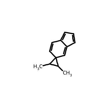 CC1C(C)C12C=CC1=CC=CC1=C2